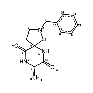 C[C@H]1NC(=O)C2(CCN(Cc3ccccc3)C2)NC1=O